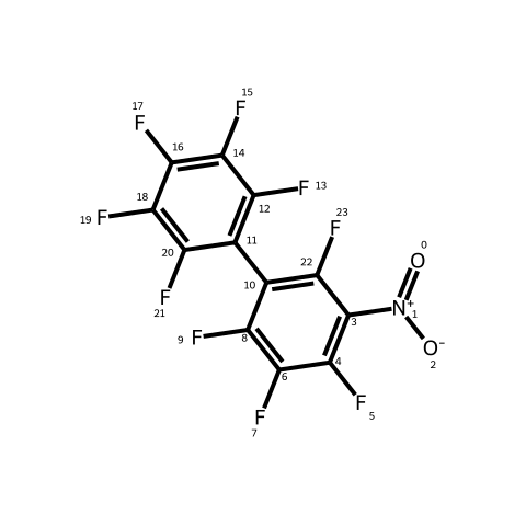 O=[N+]([O-])c1c(F)c(F)c(F)c(-c2c(F)c(F)c(F)c(F)c2F)c1F